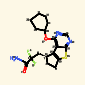 NC(=O)C(F)(F)C[C@H]1CCc2sc3ncnc(OC4CCCCC4)c3c21